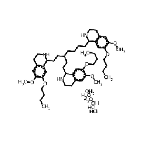 CCCCOc1cc2c(cc1OC)CCNC2CCCCC(CCC1NCCc2cc(OC)c(OCCCC)cc21)CCC1NCCc2cc(OC)c(OCCCC)cc21.Cl.Cl.Cl.O.O.O